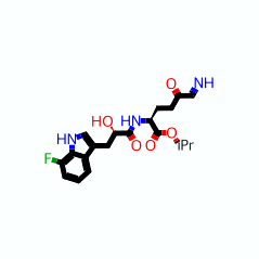 CC(C)OC(=O)[C@H](CCC(=O)C=N)NC(=O)[C@@H](O)Cc1c[nH]c2c(F)cccc12